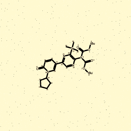 CC(C)(C)OC(=O)N(C(=O)OC(C)(C)C)c1ncc(-c2ccc(=O)n(C3CCCC3)c2)nc1[Si](C)(C)C